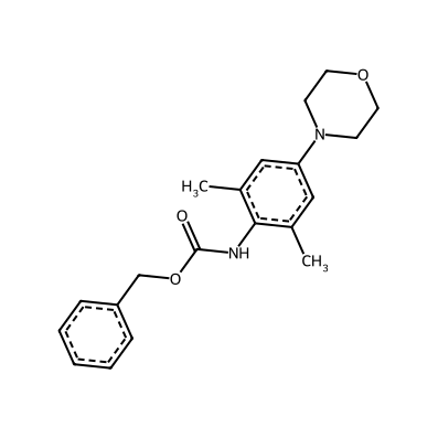 Cc1cc(N2CCOCC2)cc(C)c1NC(=O)OCc1ccccc1